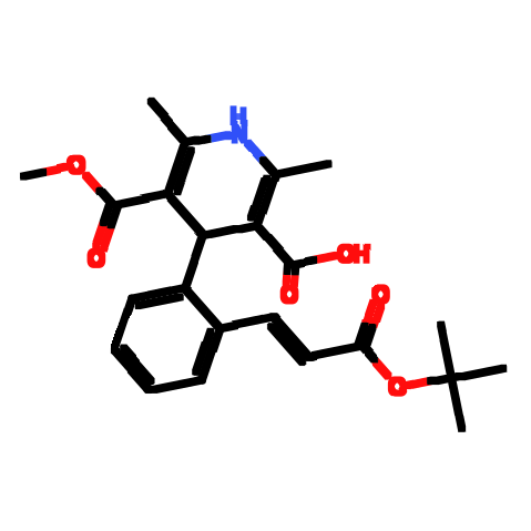 COC(=O)C1=C(C)NC(C)=C(C(=O)O)C1c1ccccc1C=CC(=O)OC(C)(C)C